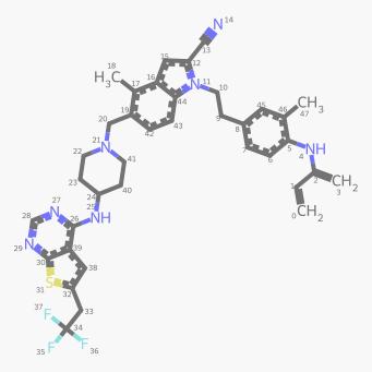 C=CC(=C)Nc1ccc(CCn2c(C#N)cc3c(C)c(CN4CCC(Nc5ncnc6sc(CC(F)(F)F)cc56)CC4)ccc32)cc1C